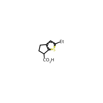 CCc1cc2c(s1)C(C(=O)O)CC2